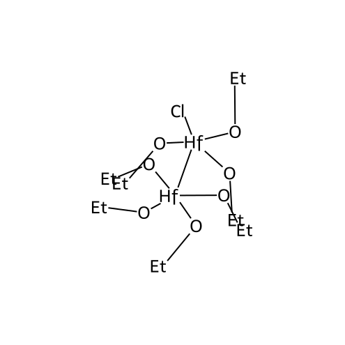 CC[O][Hf]([Cl])([O]CC)([O]CC)[Hf]([O]CC)([O]CC)([O]CC)[O]CC